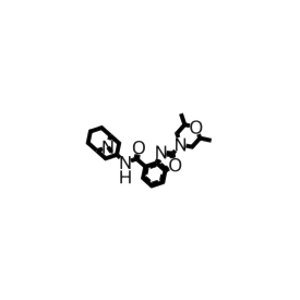 CC1CN(c2nc3c(C(=O)NC4CC5CCCC(C4)N5C)cccc3o2)CC(C)O1